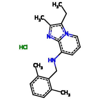 CCc1c(C)nc2c(NCc3c(C)cccc3C)cccn12.Cl